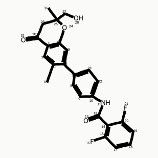 Cc1cc2c(cc1-c1ccc(NC(=O)c3c(F)cccc3F)cc1)OC(C)(CO)CC2=O